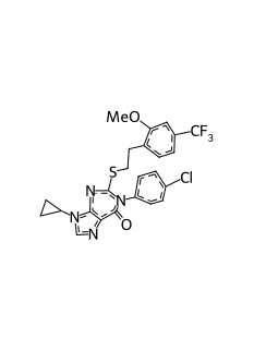 COc1cc(C(F)(F)F)ccc1CCSc1nc2c(ncn2C2CC2)c(=O)n1-c1ccc(Cl)cc1